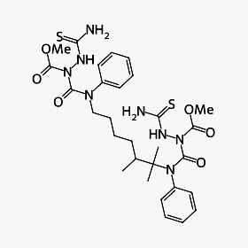 COC(=O)N(NC(N)=S)C(=O)N(CCCCC(C)C(C)(C)N(C(=O)N(NC(N)=S)C(=O)OC)c1ccccc1)c1ccccc1